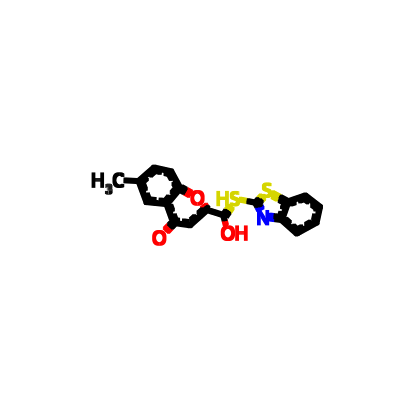 Cc1ccc2oc(C(O)=[SH]c3nc4ccccc4s3)cc(=O)c2c1